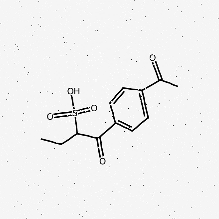 CCC(C(=O)c1ccc(C(C)=O)cc1)S(=O)(=O)O